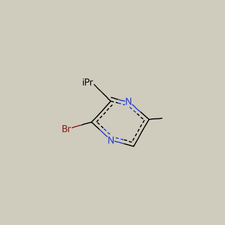 Cc1cnc(Br)c(C(C)C)n1